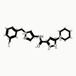 O=C(Nc1cnn(Cc2cccc(F)c2)c1)c1cc(N2CCCCC2)on1